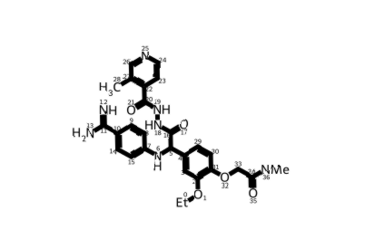 CCOc1cc(C(Nc2ccc(C(=N)N)cc2)C(=O)NNC(=O)c2ccncc2C)ccc1OCC(=O)NC